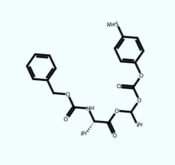 CSc1ccc(OC(=O)OC(OC(=O)[C@@H](NC(=O)OCc2ccccc2)C(C)C)C(C)C)cc1